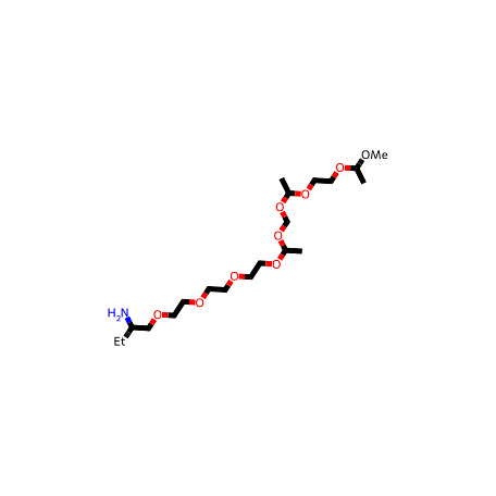 CCC(N)COCCOCCOCCOC(C)OCOC(C)OCCOC(C)OC